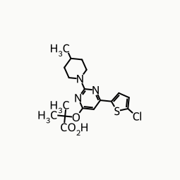 CC1CCN(c2nc(OC(C)(C)C(=O)O)cc(-c3ccc(Cl)s3)n2)CC1